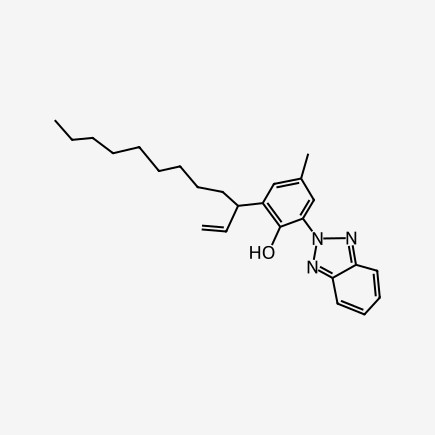 C=CC(CCCCCCCCC)c1cc(C)cc(-n2nc3ccccc3n2)c1O